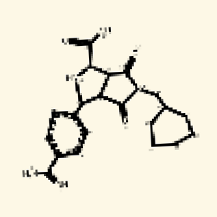 N=C(N)c1ccc(C2NC(C(=O)O)C3C(=O)N(CC4CCCCC4)C(=O)C23)cc1